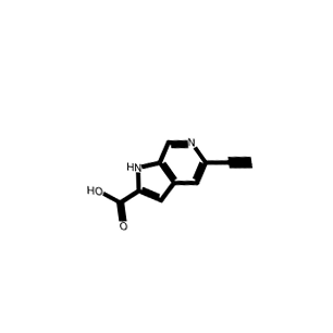 C#Cc1cc2cc(C(=O)O)[nH]c2cn1